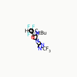 CC(C)(C)N(C(=O)O)[C@H]1C[C@@H](N2Cc3cnc(C(F)(F)F)nc3C2)CO[C@@H]1c1cc(F)c(F)cc1F